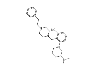 CN(C)C1CCCN(c2cccc(C#N)c2CN2CCN(CCc3ccccc3)CC2)C1